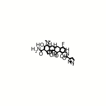 CN(C)[C@@H]1C(O)=C(C(N)=O)C2=CP[C@@]23C(O)=C2C(=O)c4c(O)c(NC(=O)c5ccn(C)n5)cc(F)c4C[C@H]2C[C@@H]13